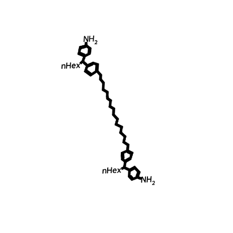 CCCCCCC(c1ccc(N)cc1)c1ccc(CCCCCCCCCCCCCCCCCc2ccc(C(CCCCCC)c3ccc(N)cc3)cc2)cc1